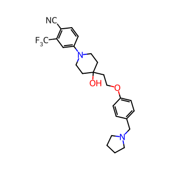 N#Cc1ccc(N2CCC(O)(CCOc3ccc(CN4CCCC4)cc3)CC2)cc1C(F)(F)F